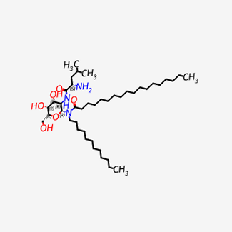 CCCCCCCCCCCCCCCCCC(=O)N(CCCCCCCCCCCC)[C@@H]1O[C@H](CO)[C@H](O)[C@H](O)[C@H]1NC(=O)[C@@H](N)CC(C)C